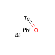 O=[Te].[Bi].[Pb]